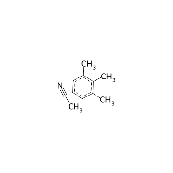 CC#N.Cc1cccc(C)c1C